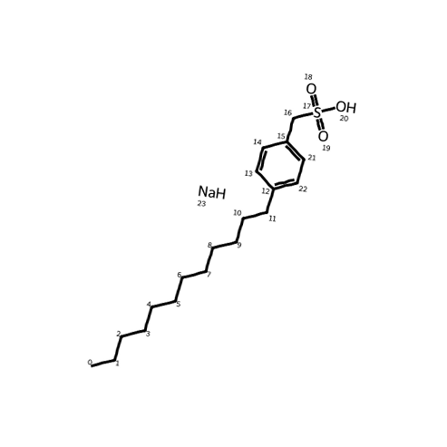 CCCCCCCCCCCCc1ccc(CS(=O)(=O)O)cc1.[NaH]